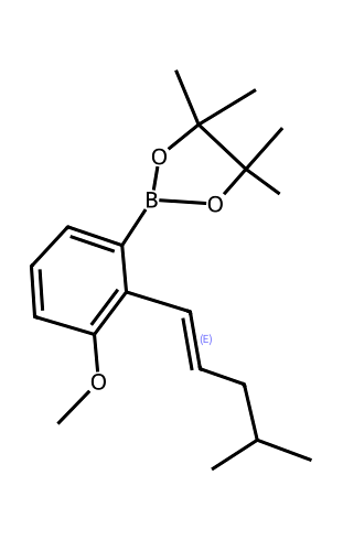 COc1cccc(B2OC(C)(C)C(C)(C)O2)c1/C=C/CC(C)C